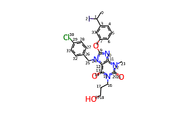 CC(I)c1cccc(Oc2nc3c(c(=O)n(CCCO)c(=O)n3C)n2Cc2ccc(Cl)cc2)c1